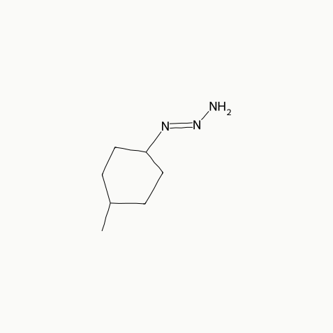 CC1CCC(N=NN)CC1